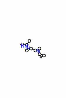 CC1(C)C2CCCCC2C2CC(N3C4CCCCC4C4CC(C5CCC6C(C5)C5CCCCC5N6C5CC(C6CCCCC6)CC(C6CCCCN6)C5)CCC43)CCC21